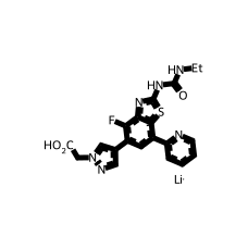 CCNC(=O)Nc1nc2c(F)c(-c3cnn(CC(=O)O)c3)cc(-c3ccccn3)c2s1.[Li]